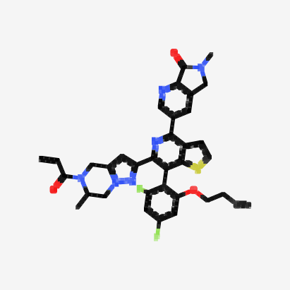 C=CC(=O)N1Cc2cc(-c3nc(-c4cnc5c(c4)CN(C)C5=O)c4ccsc4c3-c3c(F)cc(F)cc3OCCOC)nn2CC1C